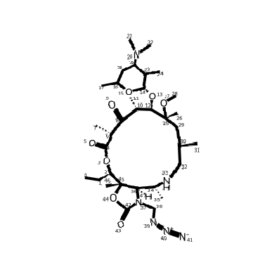 CC[C@H]1OC(=O)[C@H](C)C(=O)[C@H](C)[C@@H](O[C@@H]2OC(C)CC(N(C)C)C2C)[C@](C)(OC)C[C@@H](C)CN[C@H](C)[C@H]2N(CN=[N+]=[N-])C(=O)O[C@]12C